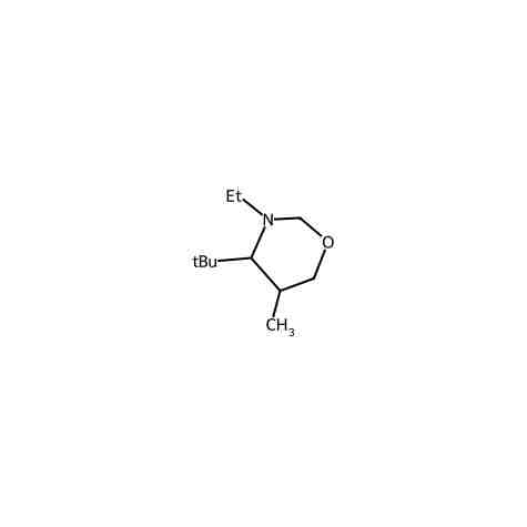 CCN1COCC(C)C1C(C)(C)C